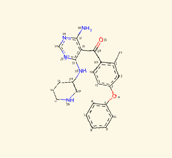 Cc1cc(Oc2ccccc2)ccc1C(=O)c1c(N)ncnc1NC1CCCNC1